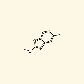 COc1nc2cc(C)ccc2o1